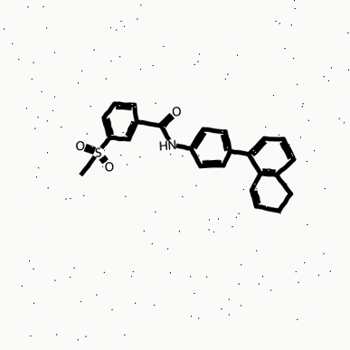 CS(=O)(=O)c1cccc(C(=O)Nc2ccc(-c3cccc4c3C=CCC4)cc2)c1